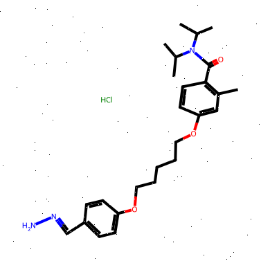 Cc1cc(OCCCCCOc2ccc(C=NN)cc2)ccc1C(=O)N(C(C)C)C(C)C.Cl